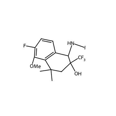 COc1c(F)ccc2c1C(C)(C)CC(O)(C(F)(F)F)C2NI